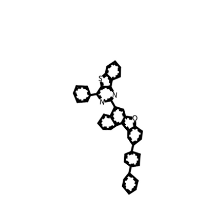 c1ccc(-c2ccc(-c3ccc4oc5cc(-c6nc(-c7ccccc7)c7sc8ccccc8c7n6)c6ccccc6c5c4c3)cc2)cc1